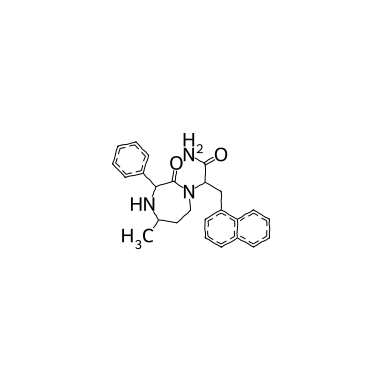 CC1CCN(C(Cc2cccc3ccccc23)C(N)=O)C(=O)C(c2ccccc2)N1